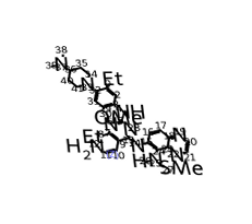 CCc1cc(Nc2nc(CC)c(/C=C\N)c(Nc3ccc4nccnc4c3N(C)SC)n2)c(OC)cc1N1CCC(N(C)C)CC1